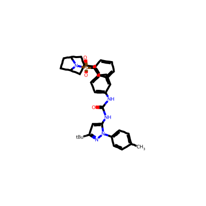 Cc1ccc(-n2nc(C(C)(C)C)cc2NC(=O)Nc2ccc(CC3CC4CCC(C3)N4S(=O)(=O)c3ccccc3)cc2)cc1